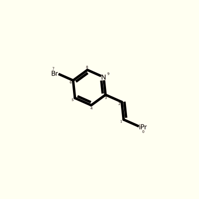 CC(C)C=Cc1ccc(Br)cn1